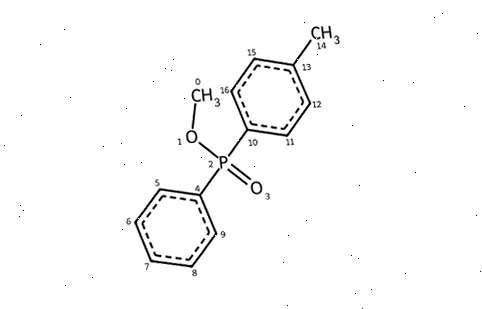 COP(=O)(c1ccccc1)c1ccc(C)cc1